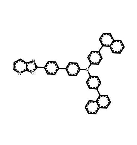 c1ccc2c(-c3ccc(N(c4ccc(-c5ccc(-c6nc7cccnc7o6)cc5)cc4)c4ccc(-c5cccc6ccccc56)cc4)cc3)cccc2c1